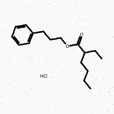 CCCCC(CC)C(=O)OCCCc1ccccc1.Cl